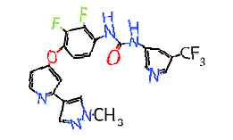 Cn1cc(-c2cc(Oc3ccc(NC(=O)Nc4cncc(C(F)(F)F)c4)c(F)c3F)ccn2)cn1